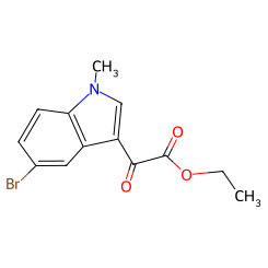 CCOC(=O)C(=O)c1cn(C)c2ccc(Br)cc12